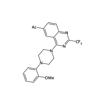 COc1ccccc1N1CCN(c2nc(C(F)(F)F)nc3ccc(C(C)=O)cc23)CC1